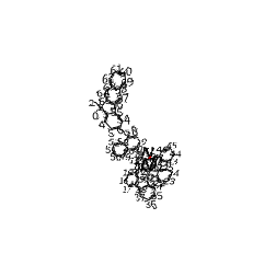 CC1(C)c2ccc(-c3ccc(-c4cc(-c5cccc6c5C(c5ccccc5)(c5ccccc5)c5ccccc5-6)nc(-c5ccccc5)n4)c4ccccc34)cc2-c2cc3ccccc3cc21